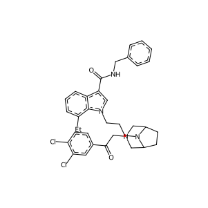 CCc1cccc2c(C(=O)NCc3ccccc3)cn(CCCN3C4CCC3CN(CC(=O)c3ccc(Cl)c(Cl)c3)C4)c12